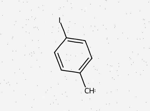 [CH]c1ccc(I)cc1